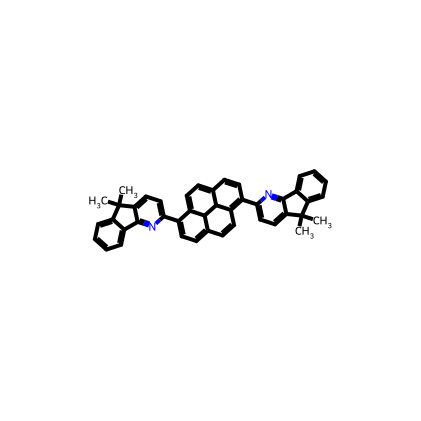 CC1(C)c2ccccc2-c2nc(C3=CC=C4C=CC5=C(c6ccc7c(n6)-c6ccccc6C7(C)C)C=CC6=CC=C3C4C65)ccc21